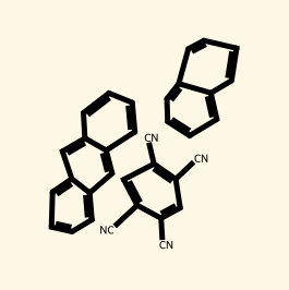 N#Cc1cc(C#N)c(C#N)cc1C#N.c1ccc2cc3ccccc3cc2c1.c1ccc2ccccc2c1